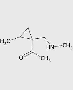 CNCC1(C(C)=O)CC1C